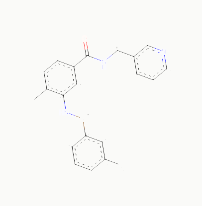 Cc1ccc(C(=O)NCc2cccnc2)cc1NSc1cccc(C(F)(F)F)c1